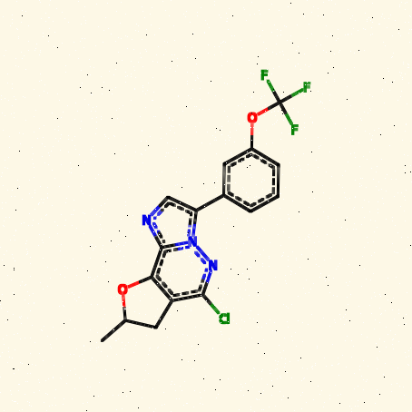 CC1Cc2c(Cl)nn3c(-c4cccc(OC(F)(F)F)c4)cnc3c2O1